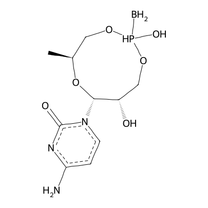 B[PH]1(O)OC[C@H](C)O[C@@H](n2ccc(N)nc2=O)[C@@H](O)CO1